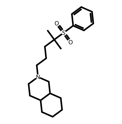 CC(C)(CCCN1CCC2CCCCC2C1)S(=O)(=O)c1ccccc1